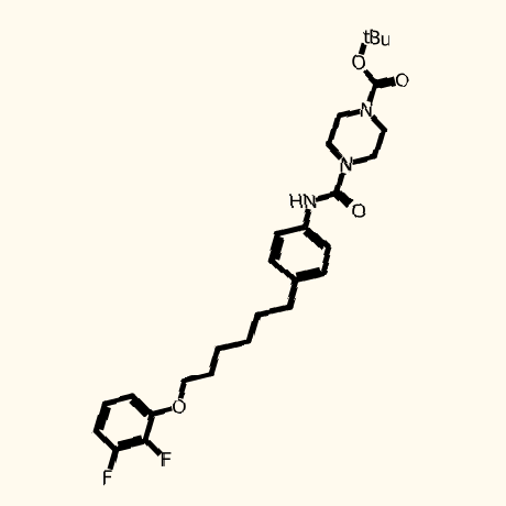 CC(C)(C)OC(=O)N1CCN(C(=O)Nc2ccc(CCCCCCOc3cccc(F)c3F)cc2)CC1